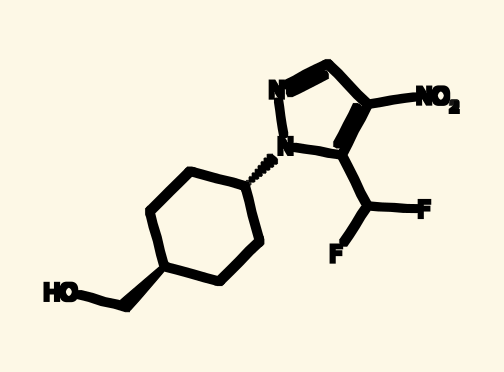 O=[N+]([O-])c1cnn([C@H]2CC[C@H](CO)CC2)c1C(F)F